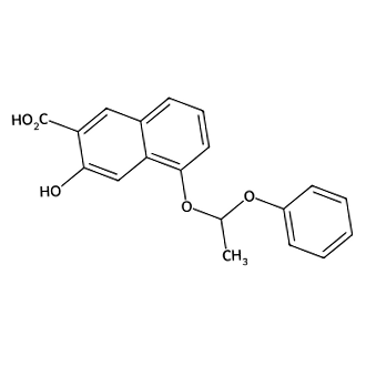 CC(Oc1ccccc1)Oc1cccc2cc(C(=O)O)c(O)cc12